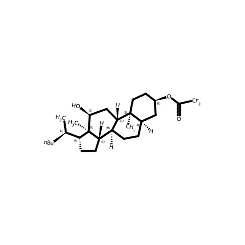 CCCC[C@@H](C)[C@H]1CC[C@H]2[C@@H]3CC[C@@H]4C[C@H](OC(=O)C(F)(F)F)CC[C@]4(C)[C@H]3C[C@H](O)[C@]12C